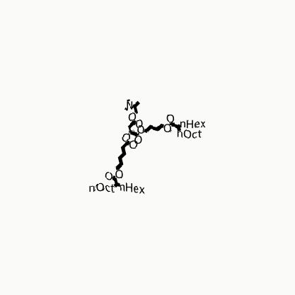 CCCCCCCCC(CCCCCC)C(=O)OCCCCCC(=O)O[C@@H](CC(=O)OCC(C)N(C)C)C(=O)OCCCCOC(=O)C(CCCCCC)CCCCCCCC